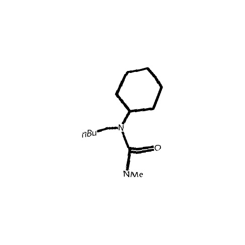 CCCCN(C(=O)NC)C1CCCCC1